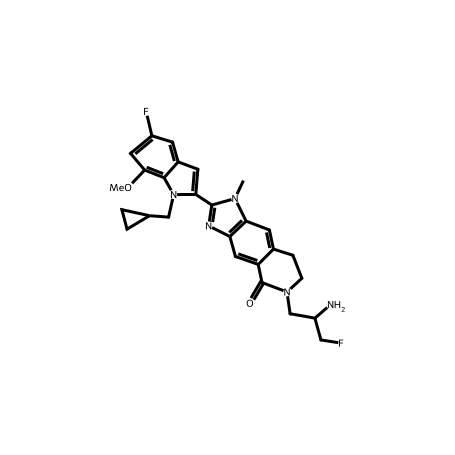 COc1cc(F)cc2cc(-c3nc4cc5c(cc4n3C)CCN(CC(N)CF)C5=O)n(CC3CC3)c12